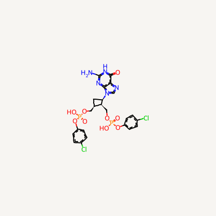 Nc1nc2c(ncn2[C@@H]2C[C@H](COP(=O)(O)Oc3ccc(Cl)cc3)[C@@H]2COP(=O)(O)Oc2ccc(Cl)cc2)c(=O)[nH]1